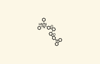 c1ccc(C2=NC(c3ccc4c(c3)oc3cccc(-c5cccc6c5oc5cc(-n7c8ccccc8c8ccccc87)ccc56)c34)=NC(c3ccccc3)N2)cc1